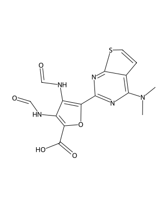 CN(C)c1nc(-c2oc(C(=O)O)c(NC=O)c2NC=O)nc2sccc12